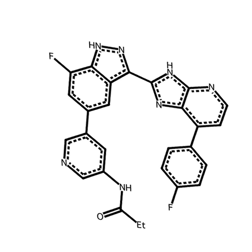 CCC(=O)Nc1cncc(-c2cc(F)c3[nH]nc(-c4nc5c(-c6ccc(F)cc6)ccnc5[nH]4)c3c2)c1